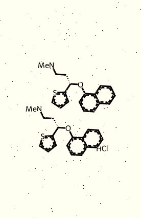 CNCC[C@H](Oc1cccc2ccccc12)c1cccs1.CNCC[C@H](Oc1cccc2ccccc12)c1cccs1.Cl